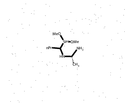 CCCC(N[C@@H](C)N)[SiH](OC)OC